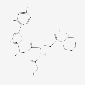 CC(C)CCC(=O)N[C@@H](CCC(=O)N1CCCC[C@@H]1C(F)(F)F)C(=O)N[C@@H](C)c1ncc(-c2ccc(F)cc2F)[nH]1